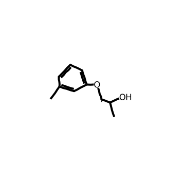 Cc1cccc(O[CH]C(C)O)c1